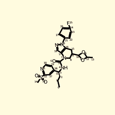 CCC[C@H](NC(=O)N1CC(C2OC(C)O2)Cc2c1cnn2-c1ccc(F)cc1)c1ccnc(S(C)(=O)=O)c1